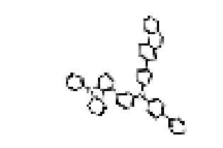 C1=Cc2c(n(-c3ccccc3)c3cccc(-c4cccc(N(c5ccc(-c6ccccc6)cc5)c5ccc(-c6ccc7c(ccc8ccccc87)c6)cc5)c4)c23)CC1